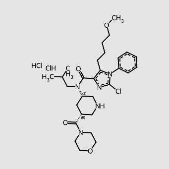 COCCCCc1c(C(=O)N(CC(C)C)[C@@H]2CNC[C@H](C(=O)N3CCOCC3)C2)nc(Cl)n1-c1ccccc1.Cl.Cl